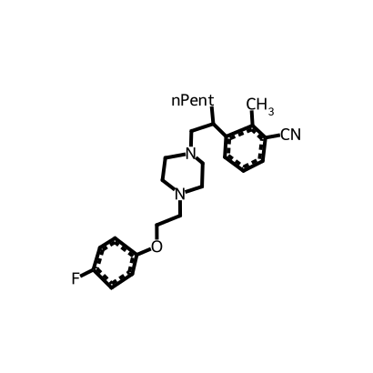 CCCCCC(CN1CCN(CCOc2ccc(F)cc2)CC1)c1cccc(C#N)c1C